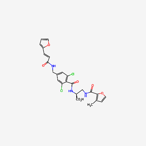 Cc1ccoc1C(=O)NC[C@H](NC(=O)c1c(Cl)cc(CNC(=O)/C=C/c2ccco2)cc1Cl)C(=O)O